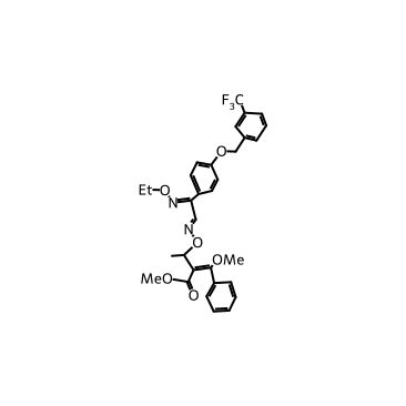 CCON=C(C=NOC(C)C(C(=O)OC)=C(OC)c1ccccc1)c1ccc(OCc2cccc(C(F)(F)F)c2)cc1